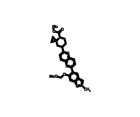 COCOc1cc2nn(C)cc2cc1-c1ccc2nc(C3CCN(C(=O)OC(C)(C)C)C4(CC4)C3)ccc2n1